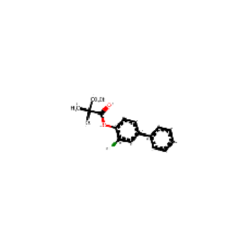 CCOC(=O)C(C)(CC)C(=O)Oc1ccc(-c2ccccc2)cc1F